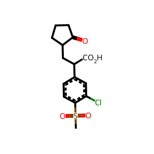 CS(=O)(=O)c1ccc(C(CC2CCCC2=O)C(=O)O)cc1Cl